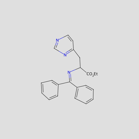 CCOC(=O)C(Cc1ccncn1)N=C(c1ccccc1)c1ccccc1